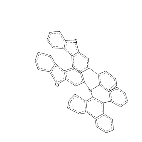 c1ccc(-c2c(N(c3ccc4c(c3)oc3ccccc34)c3ccccc3-c3ccc4c(c3)sc3ccccc34)c3ccccc3c3ccccc23)cc1